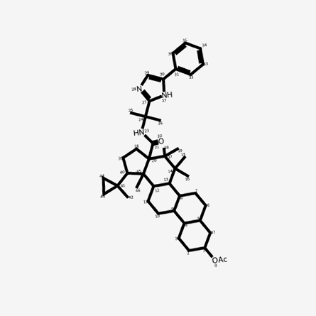 CC(=O)OC1CCC2C(CCC3C2CCC2C3C(C)(C)C(C)(C)C3(C(=O)NC(C)(C)c4ncc(-c5ccccc5)[nH]4)CCC(C4(C)CC4)C23C)C1